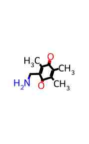 CC1=C(C)C(=O)C(CN)=C(C)C1=O